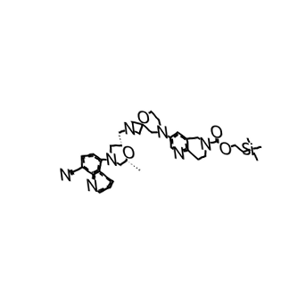 C[C@@H]1CN(c2ccc(C#N)c3ncccc23)C[C@H](CN2CC3(C2)CN(c2cnc4c(c2)CN(C(=O)OCC[Si](C)(C)C)CC4)CCO3)O1